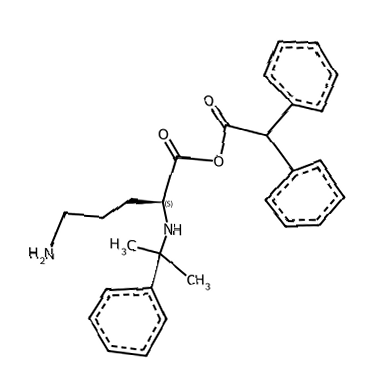 CC(C)(N[C@@H](CCCN)C(=O)OC(=O)C(c1ccccc1)c1ccccc1)c1ccccc1